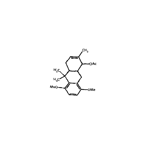 COc1ccc(OC)c2c1CC1C(OC(C)=O)C(C)=CCC1C2(C)C